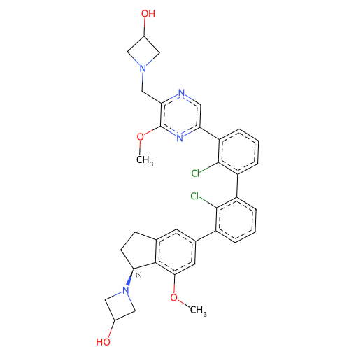 COc1cc(-c2cccc(-c3cccc(-c4cnc(CN5CC(O)C5)c(OC)n4)c3Cl)c2Cl)cc2c1[C@@H](N1CC(O)C1)CC2